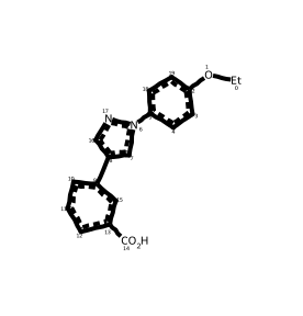 CCOc1ccc(-n2cc(-c3cccc(C(=O)O)c3)cn2)cc1